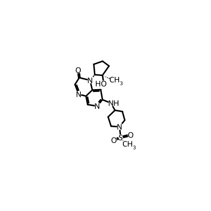 C[C@@]1(O)CCC[C@H]1n1c(=O)cnc2cnc(NC3CCN(S(C)(=O)=O)CC3)cc21